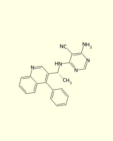 C[C@@H](Nc1ncnc(N)c1C#N)c1cnc2ccccc2c1-c1ccccc1